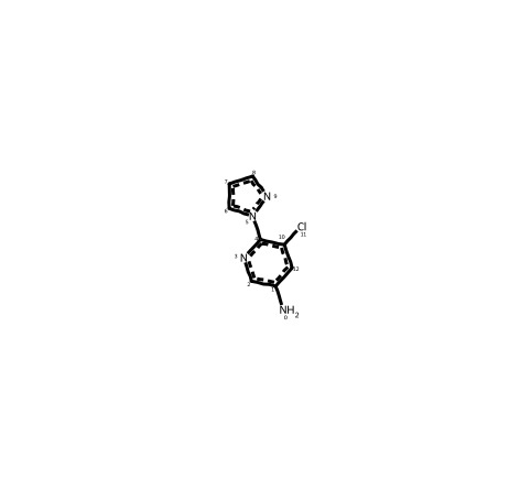 Nc1cnc(-n2cccn2)c(Cl)c1